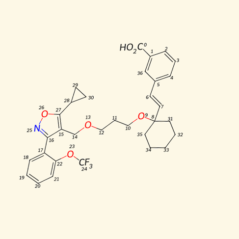 O=C(O)c1cccc(/C=C/C2(OCCCOCc3c(-c4ccccc4OC(F)(F)F)noc3C3CC3)CCCCC2)c1